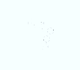 OP(O)(O)=S.OP(O)(O)=S.OP(O)(O)=S.c1ccccc1.c1ccccc1